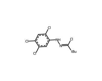 CC(C)(C)C(Cl)=NNc1cc(Cl)c(Cl)cc1Cl